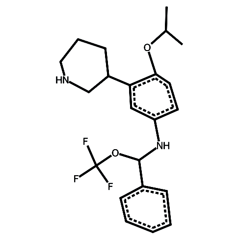 CC(C)Oc1ccc(NC(OC(F)(F)F)c2ccccc2)cc1C1CCCNC1